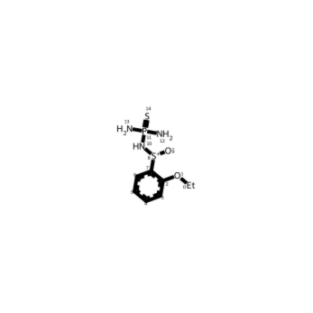 CCOc1ccccc1[S+]([O-])NP(N)(N)=S